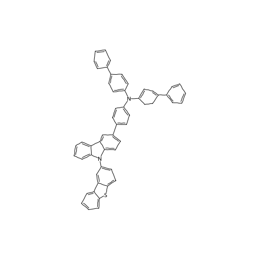 C1=C(c2ccccc2)CCC(N(c2ccc(-c3ccccc3)cc2)c2ccc(-c3ccc4c(c3)c3ccccc3n4-c3ccc4sc5ccccc5c4c3)cc2)=C1